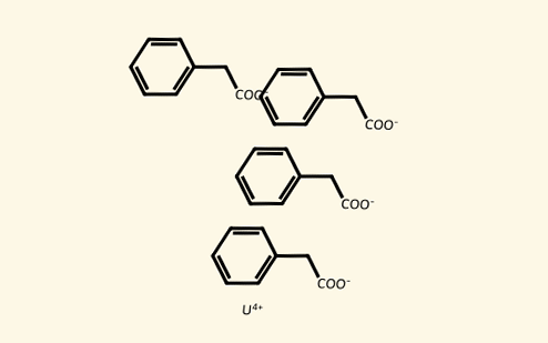 O=C([O-])Cc1ccccc1.O=C([O-])Cc1ccccc1.O=C([O-])Cc1ccccc1.O=C([O-])Cc1ccccc1.[U+4]